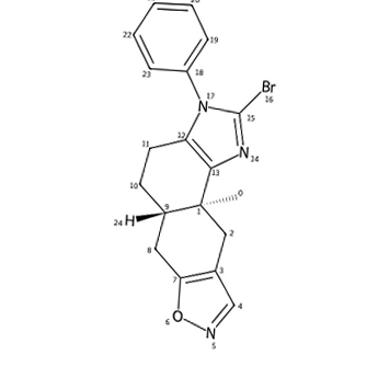 C[C@]12Cc3cnoc3C[C@@H]1CCc1c2nc(Br)n1-c1ccccc1